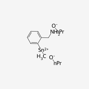 CCC[O-].CCC[O-].[CH3][Sn+2][c]1ccccc1CN